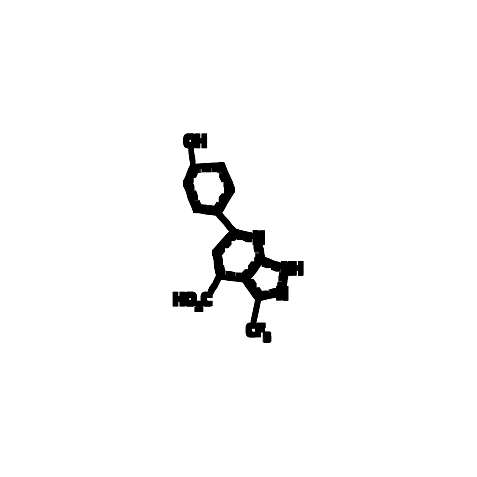 O=C(O)c1cc(-c2ccc(O)cc2)nc2[nH]nc(C(F)(F)F)c12